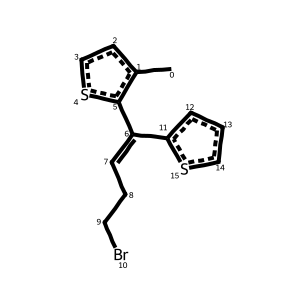 Cc1ccsc1C(=CCCBr)c1cccs1